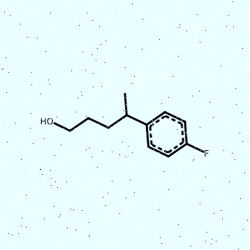 CC(CCCO)c1ccc(F)cc1